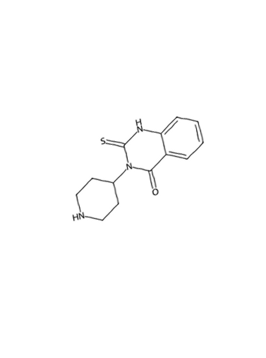 O=c1c2ccccc2[nH]c(=S)n1C1CCNCC1